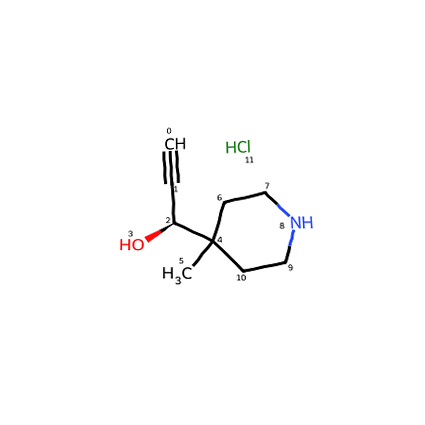 C#C[C@H](O)C1(C)CCNCC1.Cl